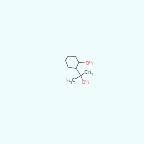 CC(C)(O)C1CCCCC1O